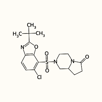 CC(C)(C)c1nc2ccc(Cl)c(S(=O)(=O)N3CCN4C(=O)CCC4C3)c2o1